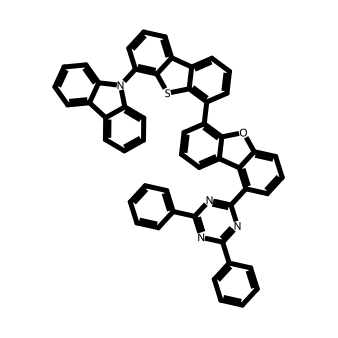 c1ccc(-c2nc(-c3ccccc3)nc(-c3cccc4oc5c(-c6cccc7c6sc6c(-n8c9ccccc9c9ccccc98)cccc67)cccc5c34)n2)cc1